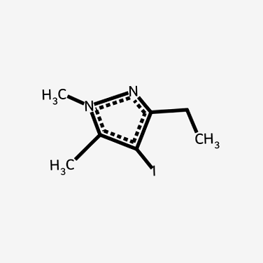 CCc1nn(C)c(C)c1I